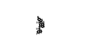 Fc1ccc2c(NCCN(CCNc3ccnc4cc(F)ccc34)c3ccnc4cc(F)ccc34)ccnc2c1